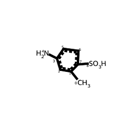 Cc1cc(N)ccc1S(=O)(=O)O